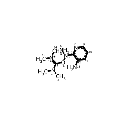 CN(C)C(ON(N)c1ncccc1N)=[N+](C)C